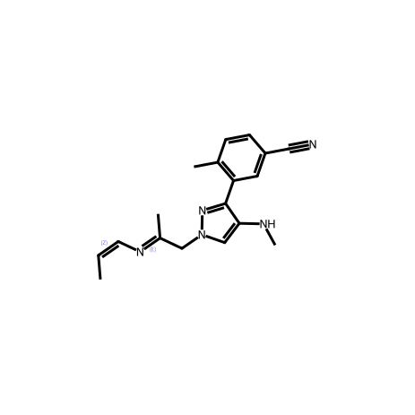 C/C=C\N=C(/C)Cn1cc(NC)c(-c2cc(C#N)ccc2C)n1